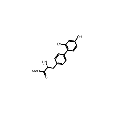 CCc1cc(O)ccc1-c1ccc(C[C@H](N)C(=O)OC)cc1